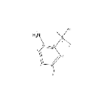 Cc1ccc(N)c(S(C)(C)C)c1